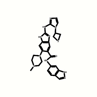 CN1CCN(c2cc3[nH]c(Nc4nccn4C4CSC4)nc3cc2C(=O)Nc2ccc3cn[nH]c3c2)CC1